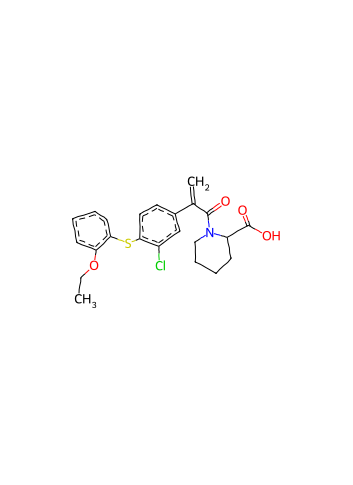 C=C(C(=O)N1CCCCC1C(=O)O)c1ccc(Sc2ccccc2OCC)c(Cl)c1